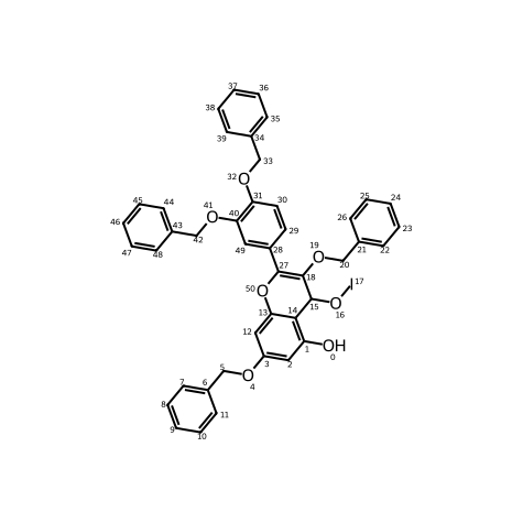 Oc1cc(OCc2ccccc2)cc2c1C(OI)C(OCc1ccccc1)=C(c1ccc(OCc3ccccc3)c(OCc3ccccc3)c1)O2